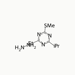 CCc1nc(SC)nc(C(C)C)n1.NN